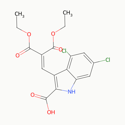 CCOC(=O)C(=Cc1c(C(=O)O)[nH]c2cc(Cl)cc(Cl)c12)C(=O)OCC